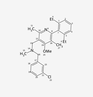 CCc1cccc(CC)c1-c1nc(C)c(CN(C)Cc2cccc(Cl)c2)c(OC)c1C